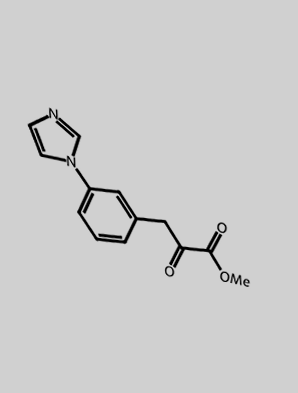 COC(=O)C(=O)Cc1cccc(-n2ccnc2)c1